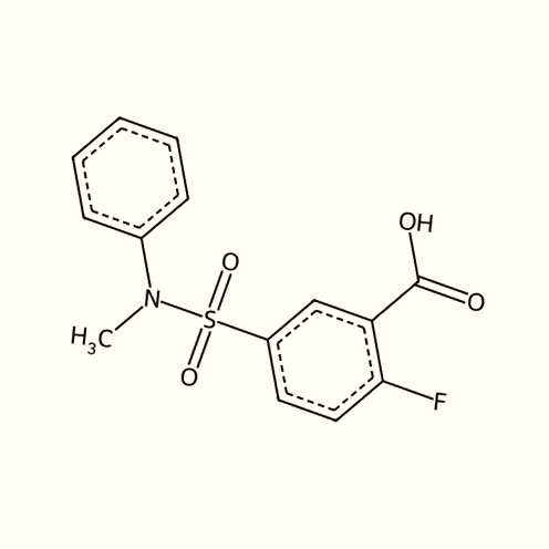 CN(c1ccccc1)S(=O)(=O)c1ccc(F)c(C(=O)O)c1